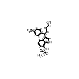 CS(=O)(=O)Nc1cccc2c(C(CCCC#N)c3ccc(C(F)(F)F)cc3)c[nH]c12